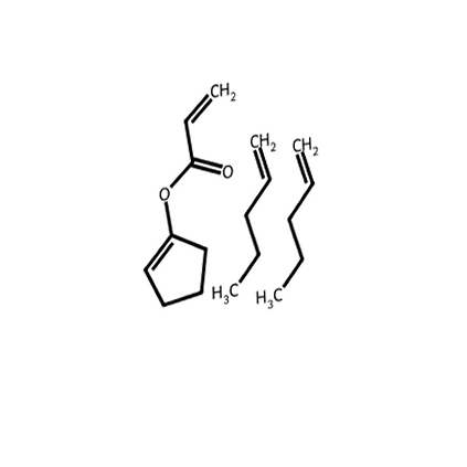 C=CC(=O)OC1=CCCC1.C=CCCC.C=CCCC